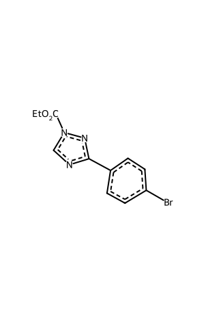 CCOC(=O)n1cnc(-c2ccc(Br)cc2)n1